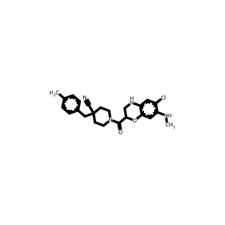 CNc1cc2c(cc1Cl)NCC(C(=O)N1CCC(C#N)(Cc3ccc(C)cc3)CC1)O2